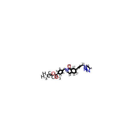 CC(C)(C)OC(=O)c1ccc(Cn2ccc3ccc(C#CCn4ccnn4)cc3c2=O)cc1